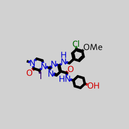 COc1ccc(CNc2nc(N3CCN(C)C(=O)C3I)ncc2C(=O)NC2CCC(O)CC2)cc1Cl